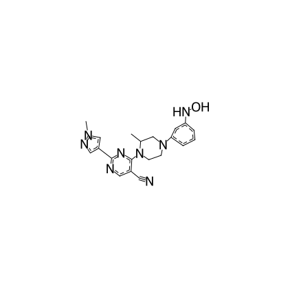 CC1CN(c2cccc(NO)c2)CCN1c1nc(-c2cnn(C)c2)ncc1C#N